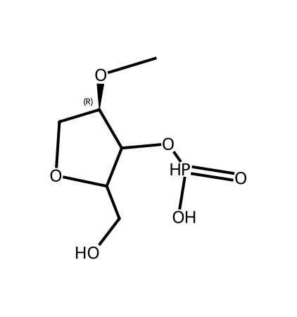 CO[C@@H]1COC(CO)C1O[PH](=O)O